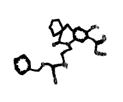 COC(=O)c1cc2c(cc1C(F)(F)F)CC1(CCCC1)C(=O)N2CCNC(=O)OCc1ccccc1